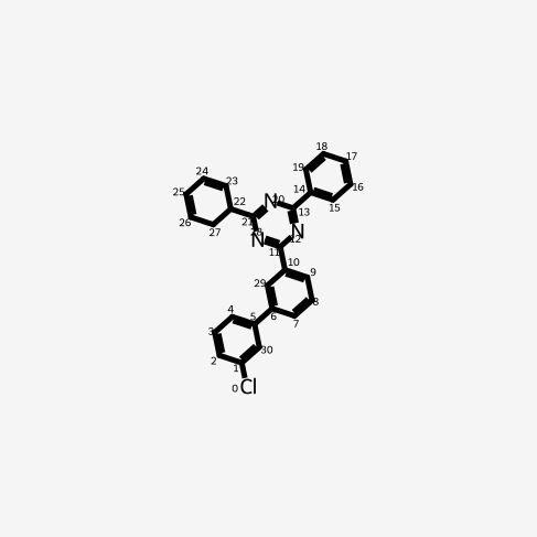 Clc1cccc(-c2cccc(-c3nc(-c4ccccc4)nc(C4C=CC=CC4)n3)c2)c1